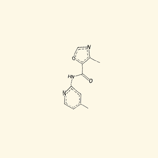 Cc1ccnc(NC(=O)c2ocnc2C)c1